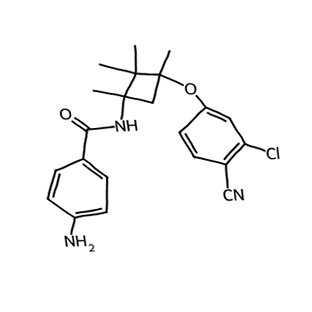 CC1(NC(=O)c2ccc(N)cc2)CC(C)(Oc2ccc(C#N)c(Cl)c2)C1(C)C